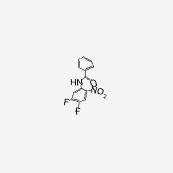 O=C(Nc1cc(F)c(F)cc1[N+](=O)[O-])c1ccccc1